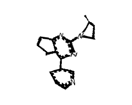 C[C@H]1CCN1c1nc2c(c(-c3cccnc3)n1)CCC2